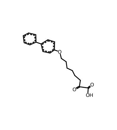 O=C(O)C(=O)CCCCCCOc1ccc(-c2ccccc2)cc1